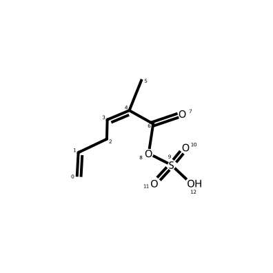 C=CCC=C(C)C(=O)OS(=O)(=O)O